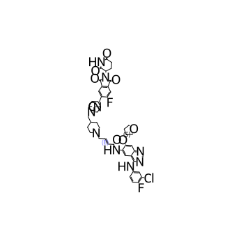 O=C(/C=C/CN1CCC(CN2CC3CCC2CN3c2cc3c(cc2F)C(=O)N(C2CCC(=O)NC2=O)C3=O)CC1)Nc1cc2c(Nc3ccc(F)c(Cl)c3)ncnc2cc1O[C@H]1CCOC1